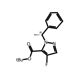 C[C@H](c1ccccc1)n1ncc(F)c1C(=O)OC(C)(C)C